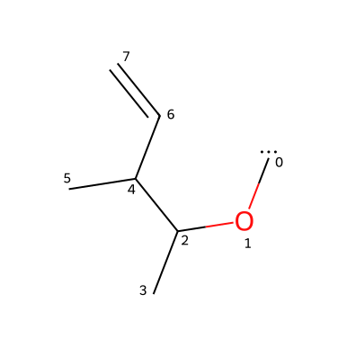 [C]OC(C)C(C)C=C